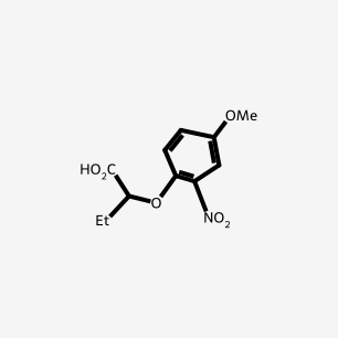 CCC(Oc1ccc(OC)cc1[N+](=O)[O-])C(=O)O